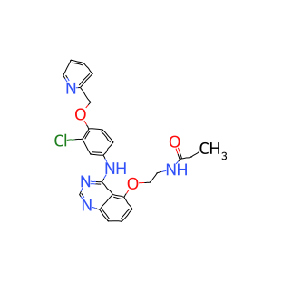 CCC(=O)NCCOc1cccc2ncnc(Nc3ccc(OCc4ccccn4)c(Cl)c3)c12